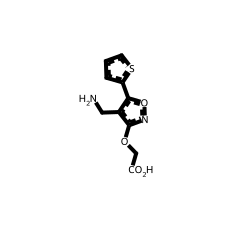 NCc1c(OCC(=O)O)noc1-c1cccs1